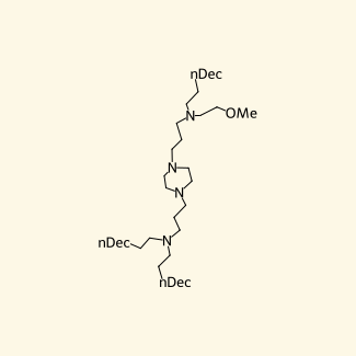 CCCCCCCCCCCCN(CCCCCCCCCCCC)CCCN1CCN(CCCN(CCCCCCCCCCCC)CCOC)CC1